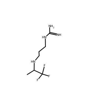 CC(NCCCNC(=N)N)C(F)(F)F